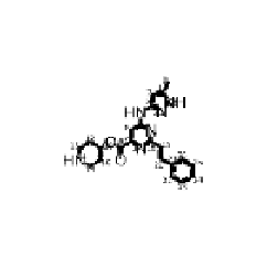 Cc1cc(Nc2cc(C(=O)OC3CCNCC3)nc(/C=C/c3ccccc3)n2)n[nH]1